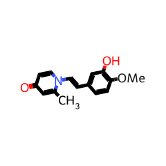 COc1ccc(/C=C/n2ccc(=O)cc2C)cc1O